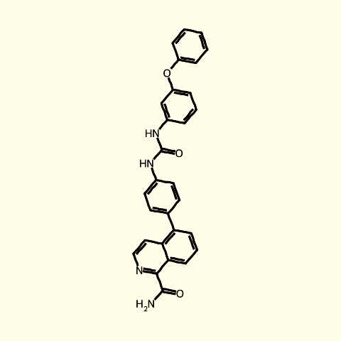 NC(=O)c1nccc2c(-c3ccc(NC(=O)Nc4cccc(Oc5ccccc5)c4)cc3)cccc12